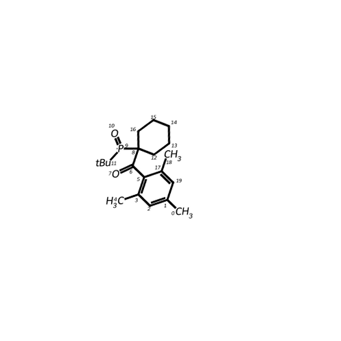 Cc1cc(C)c(C(=O)C2([P](=O)C(C)(C)C)CCCCC2)c(C)c1